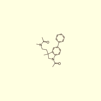 CC(=O)N(C)CCC1(C)CN(C(C)=O)c2ccc(-c3ccccc3)cc21